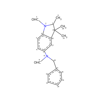 CC1N(C=O)c2ccc(N(C=O)Cc3ccccc3)cc2C1(C)C